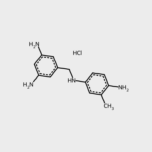 Cc1cc(NCc2cc(N)cc(N)c2)ccc1N.Cl